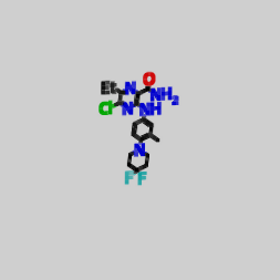 CCc1nc(C(N)=O)c(Nc2ccc(N3CCC(F)(F)CC3)c(C)c2)nc1Cl